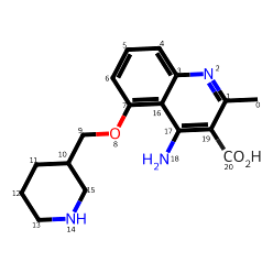 Cc1nc2cccc(OCC3CCCNC3)c2c(N)c1C(=O)O